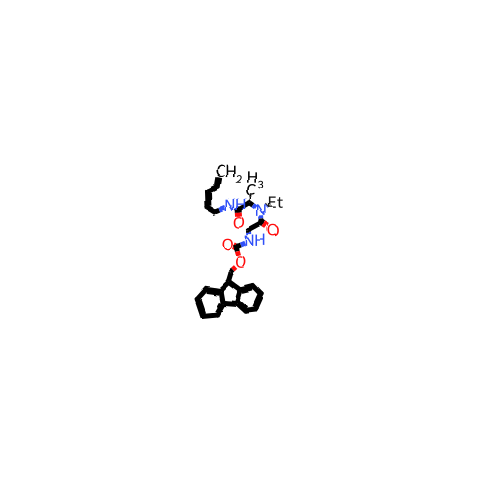 C=C/C=C\CNC(=O)[C@H](C)N(CC)C(=O)CNC(=O)OCC1c2ccccc2-c2ccccc21